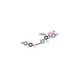 COc1cc(N2CCN(CCCCOc3ccc(C4CCNCC4)c(F)c3)CC2)c(Cl)c2c1C(=O)N(C1CCC(=O)NC1=O)C2